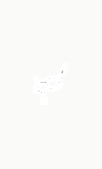 Cn1nc(Cl)c2ccc(C#N)cc21